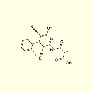 COc1nc(NC(=O)C(C)C(=O)O)c(C#N)c(-c2ccccc2F)c1C#N